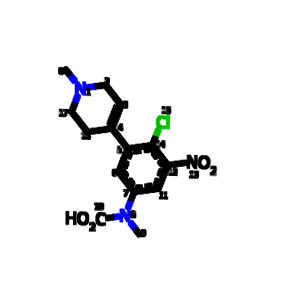 CN1CC=C(c2cc(N(C)C(=O)O)cc([N+](=O)[O-])c2Cl)CC1